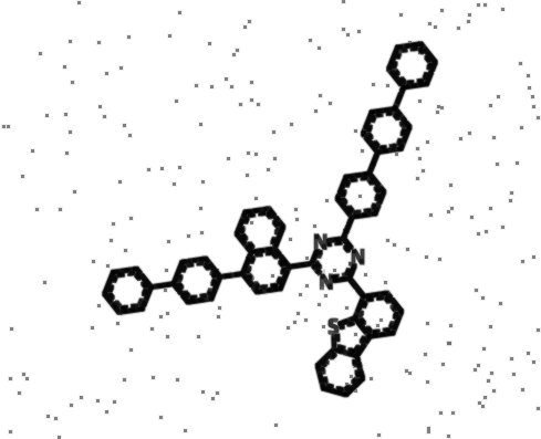 c1ccc(-c2ccc(-c3ccc(-c4nc(-c5ccc(-c6ccc(-c7ccccc7)cc6)c6ccccc56)nc(-c5cccc6c5sc5ccccc56)n4)cc3)cc2)cc1